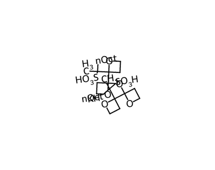 CCCCCCCCC(C)(C1(C2(OC3(C4(C(C)(CCCCCCCC)S(=O)(=O)O)CCO4)CCO3)CCO2)CCO1)S(=O)(=O)O.[KH]